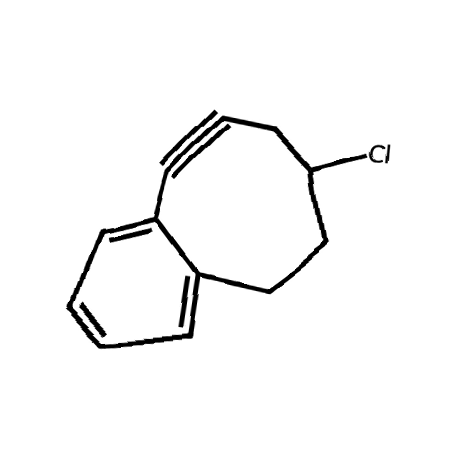 ClC1CC#Cc2ccccc2CC1